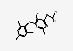 CCC(CC)Oc1nc(C)nc(Oc2c(C)cc(C)cc2C)c1C(C)C